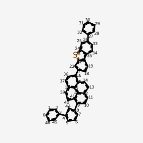 c1ccc(-c2cccc(-c3ccc4ccc5c(-c6ccc7c(c6)sc6cc(-c8ccccc8)ccc67)ccc6ccc3c4c65)c2)cc1